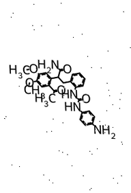 COc1cc(C(C)=O)c(C(Cc2ccccc2NC(=O)Nc2ccc(N)cc2)C(N)=O)cc1OC